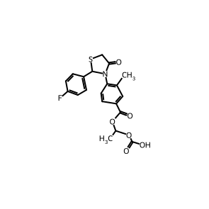 Cc1cc(C(=O)OC(C)OC(=O)O)ccc1N1C(=O)CSC1c1ccc(F)cc1